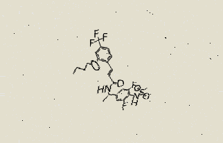 CCCCOc1cc(C(F)(F)F)ccc1/C=C/C(=O)N[C@H](C)c1cc(F)c(NS(C)(=O)=O)c(F)c1